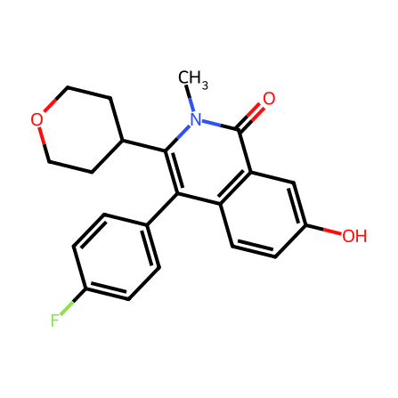 Cn1c(C2CCOCC2)c(-c2ccc(F)cc2)c2ccc(O)cc2c1=O